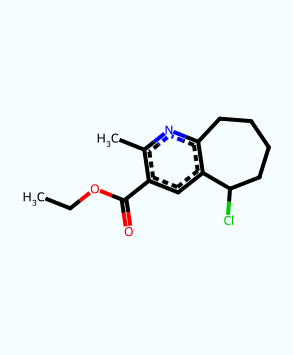 CCOC(=O)c1cc2c(nc1C)CCCCC2Cl